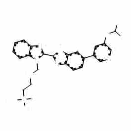 CS(C)(C)CCOCn1c(-c2nc3ccc(-c4cncc(OC(F)F)c4)cc3o2)nc2ccccc21